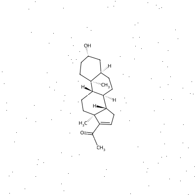 CC(=O)C1=CC[C@H]2[C@@H]3CC[C@@H]4C[C@@H](O)CC[C@]4(C)[C@H]3CC[C@]12C